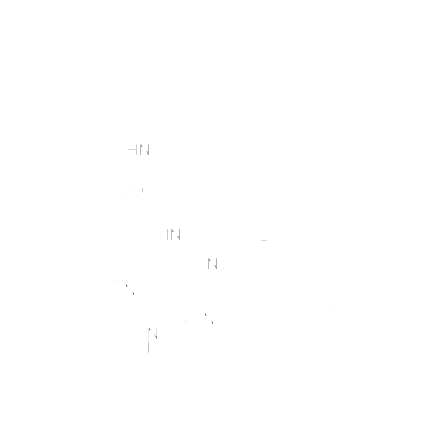 Cc1cc(C)c(CNc2nc(-c3ccccc3F)nc3[nH]cnc23)c(=O)[nH]1